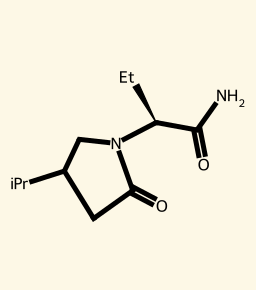 CC[C@@H](C(N)=O)N1CC(C(C)C)CC1=O